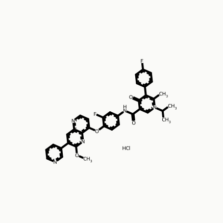 COc1nc2c(Oc3ccc(NC(=O)c4cn(C(C)C)c(C)c(-c5ccc(F)cc5)c4=O)cc3F)ccnc2cc1-c1cccnc1.Cl